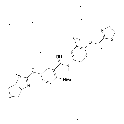 CNc1ccc(NC2=NC3COCC3O2)cc1C(=N)Nc1ccc(OCc2nccs2)c(C)c1